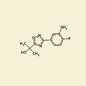 CC(C)(O)c1nc(-c2ccc(F)c(N)c2)no1